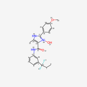 CCC(F)(F)c1cccc(NC(=O)c2c(C)[nH]c(-c3ccc(OC)cc3)[n+]2O)c1